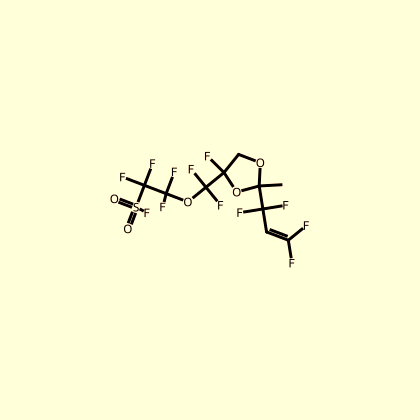 CC1(C(F)(F)C=C(F)F)OCC(F)(C(F)(F)OC(F)(F)C(F)(F)S(=O)(=O)F)O1